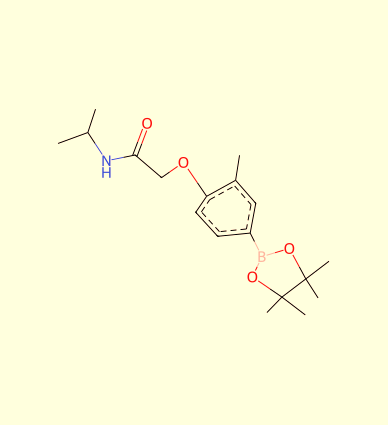 Cc1cc(B2OC(C)(C)C(C)(C)O2)ccc1OCC(=O)NC(C)C